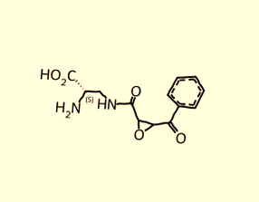 N[C@@H](CNC(=O)C1OC1C(=O)c1ccccc1)C(=O)O